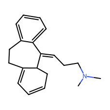 CN(C)CCC=C1c2ccccc2CCC2=CC=CCC21